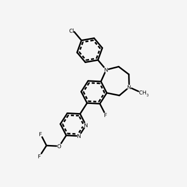 CN1CCN(c2ccc(Cl)cc2)c2ccc(-c3ccc(OC(F)F)nn3)c(F)c2C1